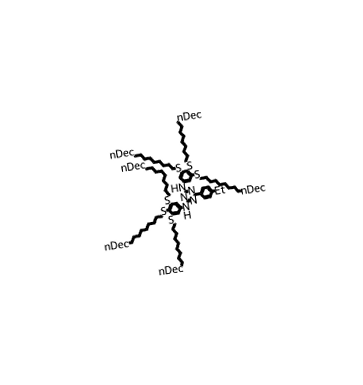 [CH2]Cc1ccc(-c2nc(Nc3cc(SCCCCCCCCCCCCCCCCCCC)c(SCCCCCCCCCCCCCCCCCCC)c(SCCCCCCCCCCCCCCCCCCC)c3)nc(Nc3cc(SCCCCCCCCCCCCCCCCCCC)c(SCCCCCCCCCCCCCCCCCCC)c(SCCCCCCCCCCCCCCCCCCC)c3)n2)cc1